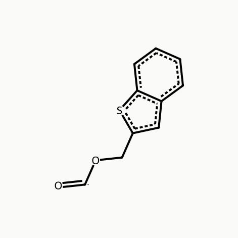 O=[C]OCc1cc2ccccc2s1